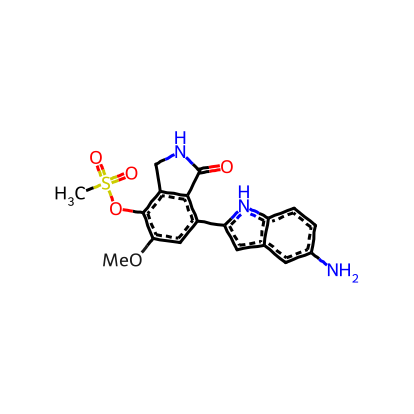 COc1cc(-c2cc3cc(N)ccc3[nH]2)c2c(c1OS(C)(=O)=O)CNC2=O